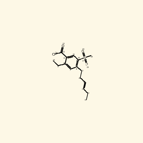 CCC=CCCc1cc(CC)c(C(=O)Cl)cc1S(C)(=O)=O